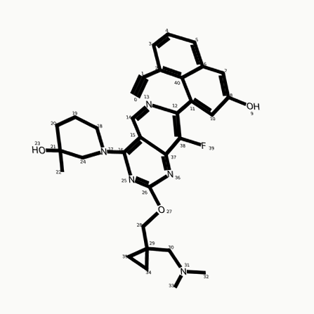 C#Cc1cccc2cc(O)cc(-c3ncc4c(N5CCCC(C)(O)C5)nc(OCC5(CN(C)C)CC5)nc4c3F)c12